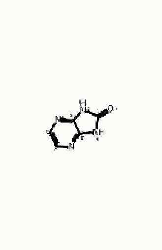 O=c1[nH]c2nccnc2[nH]1